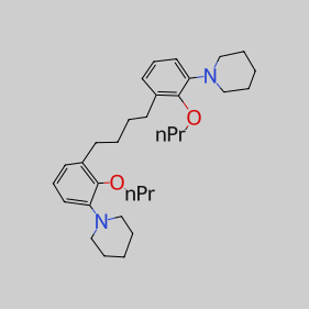 CCCOc1c(CCCCc2cccc(N3CCCCC3)c2OCCC)cccc1N1CCCCC1